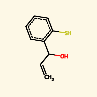 C=CC(O)c1ccccc1S